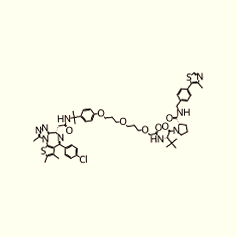 Cc1ncsc1-c1ccc(CNC(=O)[C@@H]2CCCN2C(=O)[C@@H](NC(=O)COCCCOCCCOc2ccc(C(C)(C)NC(=O)C[C@@H]3N=C(c4ccc(Cl)cc4)c4c(sc(C)c4C)-n4c(C)nnc43)cc2)C(C)(C)C)cc1